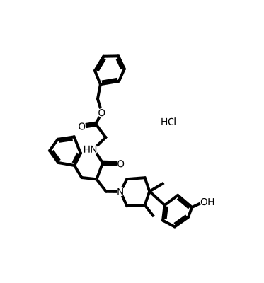 CC1CN(CC(Cc2ccccc2)C(=O)NCC(=O)OCc2ccccc2)CCC1(C)c1cccc(O)c1.Cl